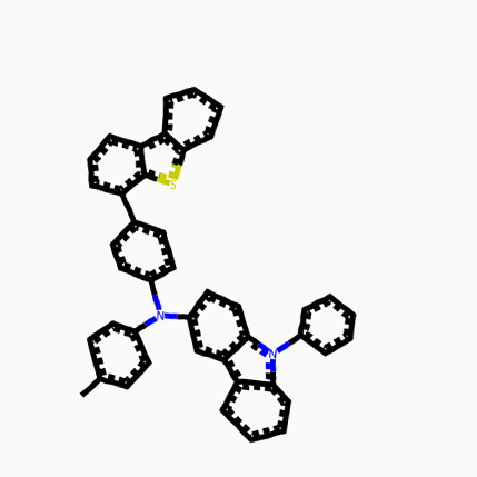 Cc1ccc(N(c2ccc(-c3cccc4c3sc3ccccc34)cc2)c2ccc3c(c2)c2ccccc2n3-c2ccccc2)cc1